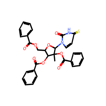 CC1(OC(=O)c2ccccc2)C(OC(=O)c2ccccc2)C(COC(=O)c2ccccc2)OC1n1ccc(=S)[nH]c1=O